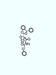 CC1(C)S[C@@H]2[C@H](NC(=O)COc3ccccc3)C(=O)N2[C@H]1C(=O)OC(c1ccccc1)c1ccccc1